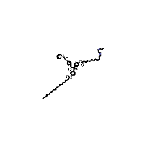 CCC=CCC=CCC=CCCCCCCCC(=O)Oc1ccc(-c2sc3cc(OC(=O)CCCCCCC/C=C\C/C=C\C/C=C\CC)ccc3c2C(=O)c2ccc(OCCN3CCCCC3)cc2)cc1